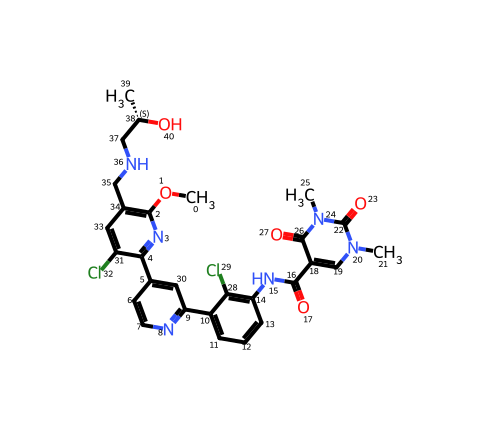 COc1nc(-c2ccnc(-c3cccc(NC(=O)c4cn(C)c(=O)n(C)c4=O)c3Cl)c2)c(Cl)cc1CNC[C@H](C)O